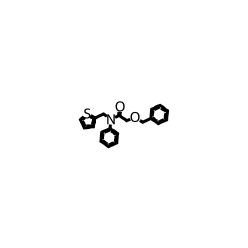 O=C(COCc1ccccc1)N(Cc1cccs1)c1ccccc1